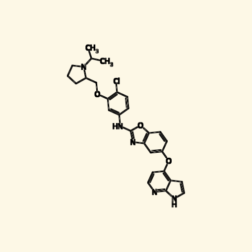 CC(C)N1CCCC1COc1cc(Nc2nc3cc(Oc4ccnc5[nH]ccc45)ccc3o2)ccc1Cl